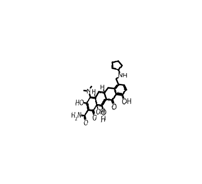 CN(C)C1C(O)=C(C(N)=O)C(=O)[C@@]2(O)C(O)=C3C(=O)c4c(O)ccc(CNC5CCCC5)c4C[C@H]3C[C@@H]12